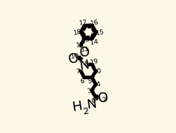 NC(=O)CCC1CCN(C(=O)OCc2ccccc2)CC1